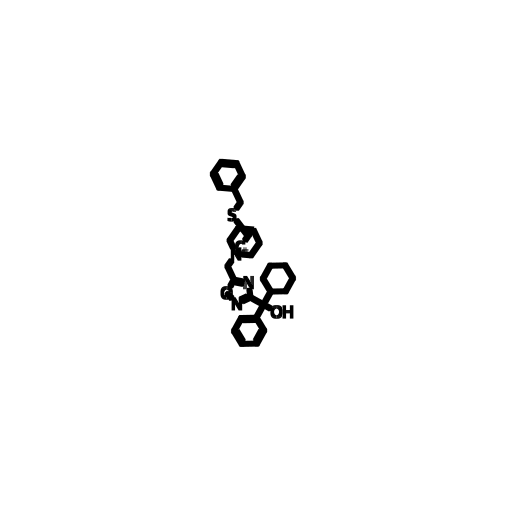 OC(c1ccccc1)(c1noc(C[N+]23CCC(CC2)C(SCc2ccccc2)C3)n1)C1CCCCC1